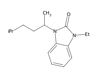 CCn1c(=O)n(C(C)CCC(C)C)c2ccccc21